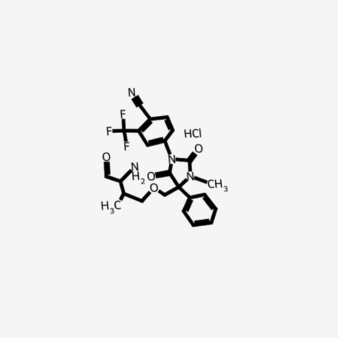 CC(COCC1(c2ccccc2)C(=O)N(c2ccc(C#N)c(C(F)(F)F)c2)C(=O)N1C)C(N)C=O.Cl